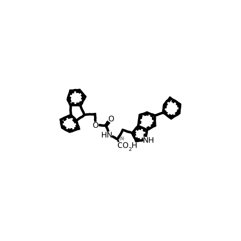 O=C(N[C@@H](Cc1c[nH]c2cc(-c3ccccc3)ccc12)C(=O)O)OCC1c2ccccc2-c2ccccc21